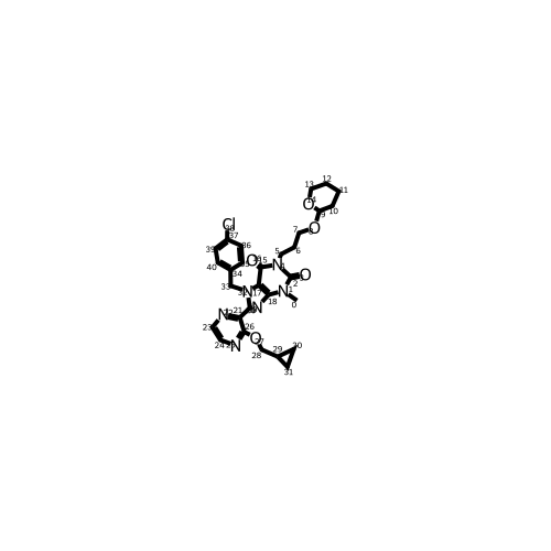 Cn1c(=O)n(CCCOC2CCCCO2)c(=O)c2c1nc(-c1nccnc1OCC1CC1)n2Cc1ccc(Cl)cc1